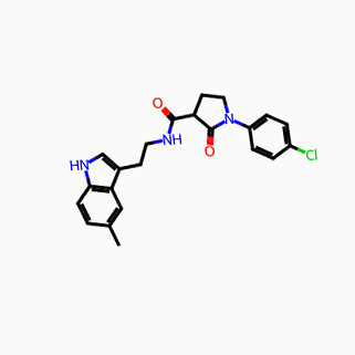 Cc1ccc2[nH]cc(CCNC(=O)C3CCN(c4ccc(Cl)cc4)C3=O)c2c1